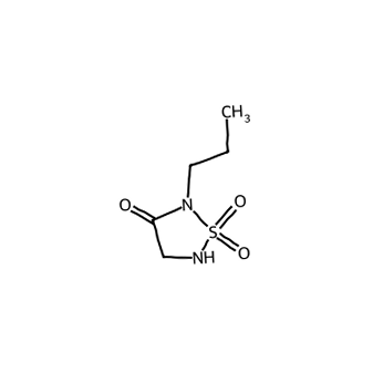 CCCN1C(=O)CNS1(=O)=O